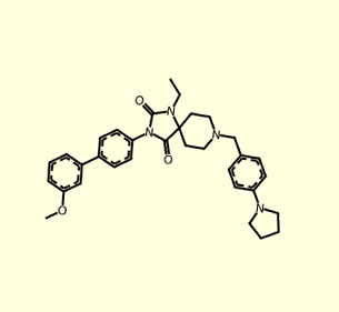 CCN1C(=O)N(c2ccc(-c3cccc(OC)c3)cc2)C(=O)C12CCN(Cc1ccc(N3CCCC3)cc1)CC2